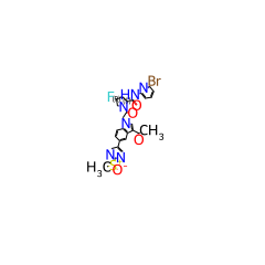 CC(=O)c1cn(CC(=O)N2C[C@H](F)C[C@H]2C(=O)Nc2cccc(Br)n2)c2ccc(-c3cnc([S+](C)[O-])nc3)cc12